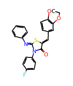 O=C1C(=Cc2ccc3c(c2)OCCO3)SC(=Nc2ccccc2)N1c1ccc(F)cc1